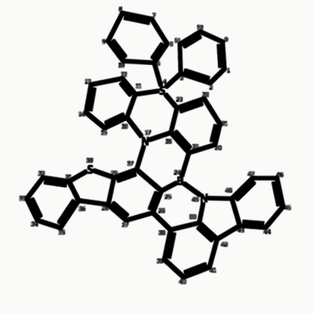 c1ccc(S2(c3ccccc3)c3ccccc3N3c4c(cccc42)B2c4c(cc5c(sc6ccccc65)c43)-c3cccc4c5ccccc5n2c34)cc1